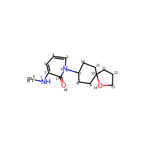 CC(C)Nc1cccn(C2CCC3(CCCO3)CC2)c1=O